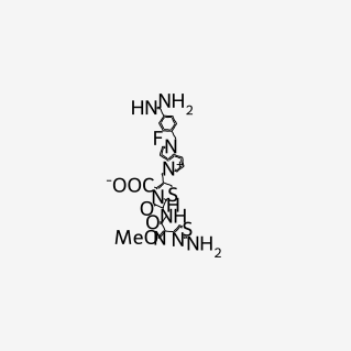 CO/N=C(\C(=O)N[C@@H]1C(=O)N2C(C(=O)[O-])=C(C[n+]3cccc4c3ccn4Cc3ccc(C(=N)N)cc3F)CS[C@H]12)c1csc(N)n1